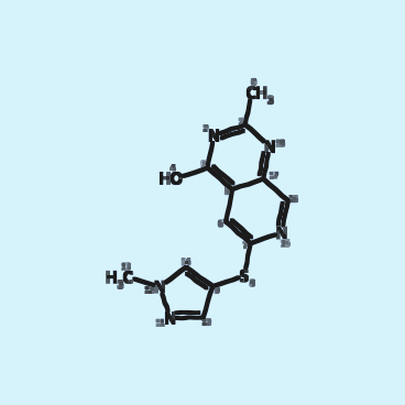 Cc1nc(O)c2cc(Sc3cnn(C)c3)ncc2n1